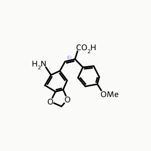 COc1ccc(/C(=C\c2cc3c(cc2N)OCO3)C(=O)O)cc1